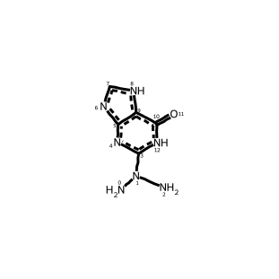 NN(N)c1nc2nc[nH]c2c(=O)[nH]1